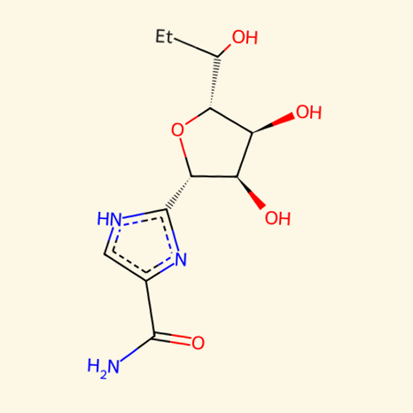 CCC(O)[C@H]1O[C@@H](c2nc(C(N)=O)c[nH]2)[C@H](O)[C@@H]1O